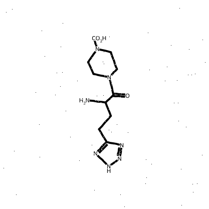 NC(CCc1nn[nH]n1)C(=O)N1CCN(C(=O)O)CC1